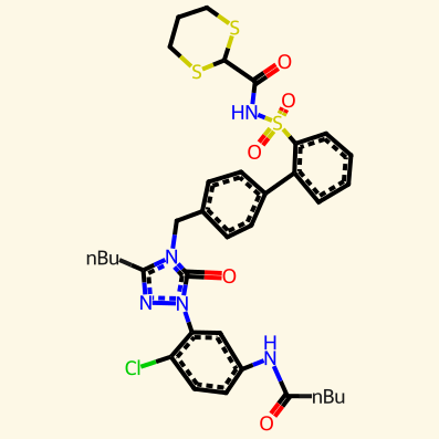 CCCCC(=O)Nc1ccc(Cl)c(-n2nc(CCCC)n(Cc3ccc(-c4ccccc4S(=O)(=O)NC(=O)C4SCCCS4)cc3)c2=O)c1